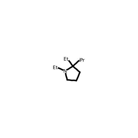 CCN1CCCC1(CC)C(C)C